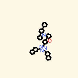 c1ccc(-c2ccc3c4ccccc4n(-c4cccc5oc6cc(-c7nc(-c8ccc9ccccc9c8)nc(-c8ccc9ccccc9c8)n7)ccc6c45)c3c2)cc1